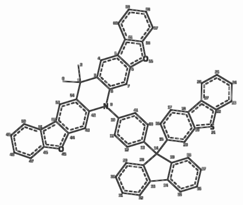 CC1(C)c2cc3c(cc2N(c2ccc(C4(c5ccc6c(c5)sc5ccccc56)c5ccccc5-c5ccccc54)cc2)c2cc4oc5ccccc5c4cc21)oc1ccccc13